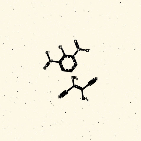 N#CC(N)=C(N)C#N.O=[N+]([O-])c1cccc([N+](=O)[O-])c1Cl